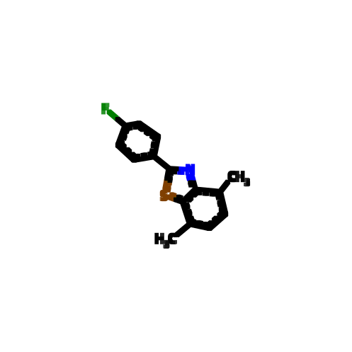 Cc1ccc(C)c2sc(-c3ccc(F)cc3)nc12